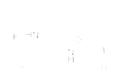 CC(CO)C(=O)NCCc1c(-c2ccc(F)cc2)[nH]c2c(F)cc(F)cc12